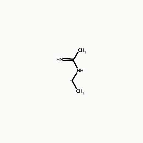 C[CH]NC(C)=N